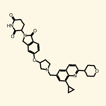 O=C1CCC(N2Cc3cc(OC4CCN(Cc5cc(C6CC6)c6nc(C7CCOCC7)ccc6c5)C4)ccc3C2=O)C(=O)N1